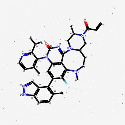 C=CC(=O)N1CC2CCN(C)c3c(F)c(-c4c(C)ccc5[nH]ncc45)cc4c3c(nc(=O)n4-c3c(C)ccnc3C(C)C)N2CC1C